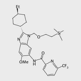 CC[C@H]1CC[C@H](c2nc3cc(OC)c(NC(=O)c4cccc(C(F)(F)F)n4)cc3n2COCC[Si](C)(C)C)CC1